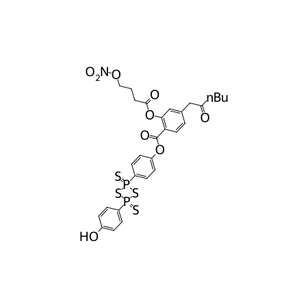 CCCCC(=O)Cc1ccc(C(=O)Oc2ccc(P3(=S)SP(=S)(c4ccc(O)cc4)S3)cc2)c(OC(=O)CCCO[N+](=O)[O-])c1